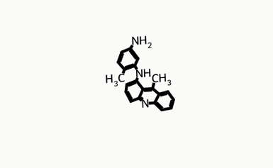 Cc1ccc(N)cc1Nc1cccc2nc3ccccc3c(C)c12